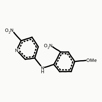 COc1ccc(Nc2ccc([N+](=O)[O-])nc2)c([N+](=O)[O-])c1